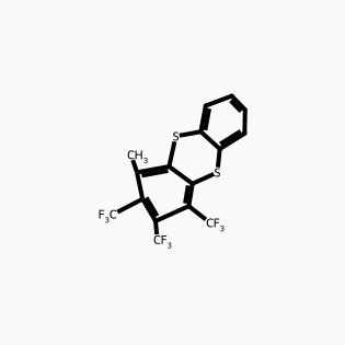 Cc1c2c(c(C(F)(F)F)c(C(F)(F)F)c1C(F)(F)F)Sc1ccccc1S2